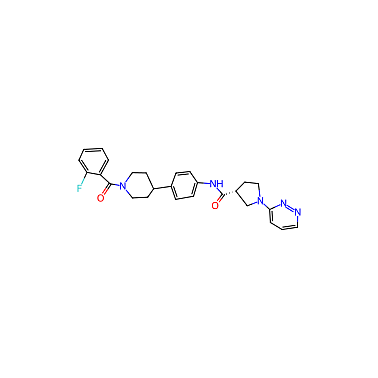 O=C(Nc1ccc(C2CCN(C(=O)c3ccccc3F)CC2)cc1)[C@@H]1CCN(c2cccnn2)C1